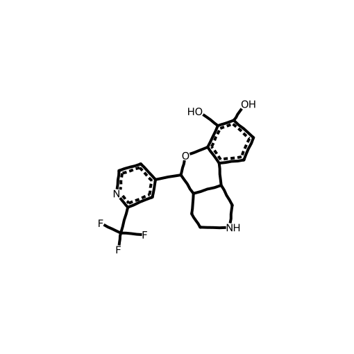 Oc1ccc2c(c1O)OC(c1ccnc(C(F)(F)F)c1)C1CCNCC21